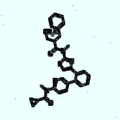 CN(C(=O)C1CC1)c1ccc(-c2ccccc2-c2csc(N(C)C(=O)C(CC(=O)O)Cc3ccccc3)n2)cn1